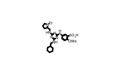 CCN1CCCC1CNc1nc(NCC2CCCCC2)nc(Nc2ccc(OC)c(S(=O)(=O)O)c2)n1